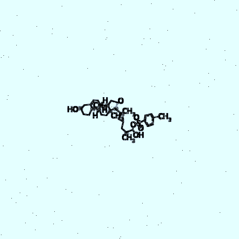 Cc1ccc(S(=O)(=O)OC(O)[C@H](C)CCC[C@@H](C)[C@H]2C(=O)C[C@H]3[C@@H]4CC=C5C[C@@H](O)CC[C@]5(C)[C@H]4CC[C@]23C)cc1